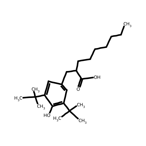 CCCCCCCC(Cc1cc(C(C)(C)C)c(O)c(C(C)(C)C)c1)C(=O)O